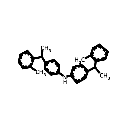 Cc1ccccc1C(C)c1ccc(Nc2ccc(C(C)c3ccccc3C)cc2)cc1